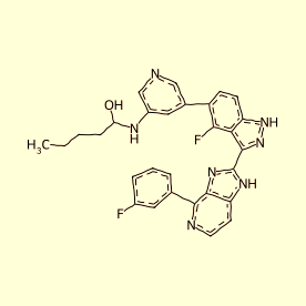 CCCCC(O)Nc1cncc(-c2ccc3[nH]nc(-c4nc5c(-c6cccc(F)c6)nccc5[nH]4)c3c2F)c1